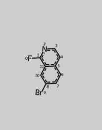 Fc1nccc2ccc(Br)cc12